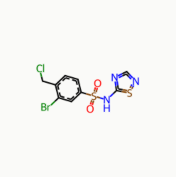 O=S(=O)(Nc1ncns1)c1ccc(CCl)c(Br)c1